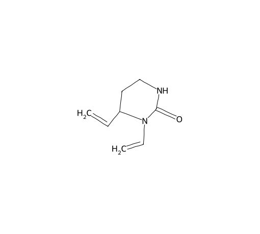 C=CC1CCNC(=O)N1C=C